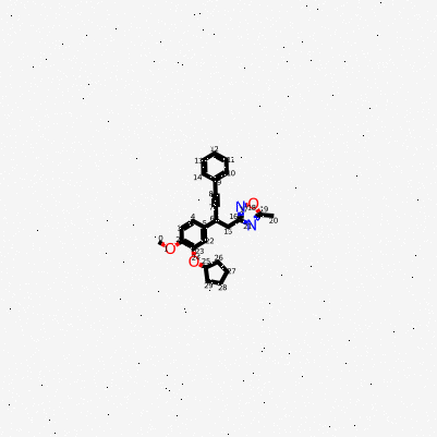 COc1ccc(C(C#Cc2ccccc2)Cc2noc(C)n2)cc1OC1CCCC1